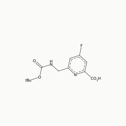 CC(C)(C)OC(=O)NCc1cc(F)cc(C(=O)O)n1